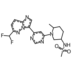 CC1CCC(NS(C)(=O)=O)CN1c1cc(-c2cnc3ccc(C(F)F)nn23)ncn1